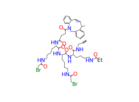 C#CCNC(=O)C(CCCCNC(=O)CC)NC(=O)C(CCCCNC(=O)CBr)NC(=O)C(CCCCNC(=O)CBr)NC(=O)CCC(=O)N1Cc2ccccc2C(C)/C=C\c2ccccc21